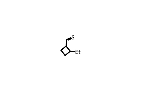 CCC1CC[C]1C=S